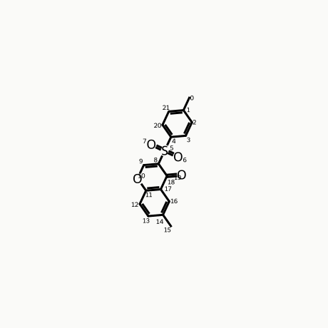 Cc1ccc(S(=O)(=O)c2coc3ccc(C)cc3c2=O)cc1